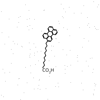 O=C(O)CCCCCCCCCCCc1ccc2c3cccc4cccc(c5cccc1c52)c43